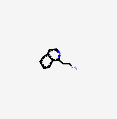 NCCc1nccc2ccccc12